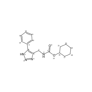 O=C(NCc1nn[nH]c1-c1ccccc1)OC1CCCCC1